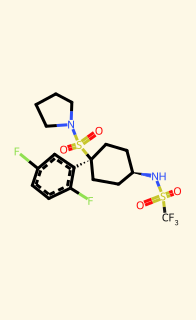 O=S(=O)(N[C@H]1CC[C@@](c2cc(F)ccc2F)(S(=O)(=O)N2CCCC2)CC1)C(F)(F)F